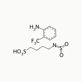 Nc1ccccc1C(F)(F)F.O=S(=O)=NCCCCS(=O)(=O)O